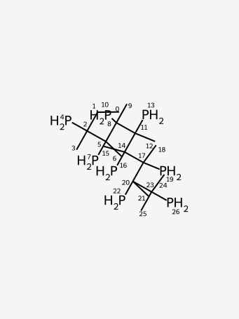 CCC(C)(P)C(C)(P)C(C)(P)C(C)(P)C(C)(P)C(C)(P)C(C)(P)C(C)(C)P